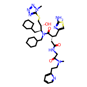 CN(CCc1ccccn1)C(=O)CNC(=O)C[C@@H](Cc1csc(N)n1)C(=O)N(CC1CCCCC1)[C@@H](CC1CCCCC1)[C@@H](O)CSc1nnnn1C